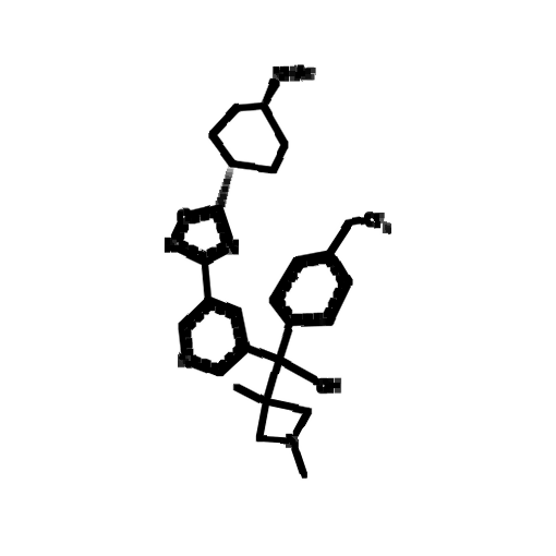 CC(=O)N[C@H]1CC[C@H](c2nc(-c3cncc(C(O)(c4ccc(CC(F)(F)F)cc4)C4(C)CN(C)C4)c3)no2)CC1